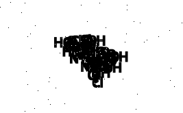 Cc1c(C#N)c(Nc2ccc(Cl)c(S(=O)(=O)O)c2)nc(Nc2ccc(Cl)c(S(=O)(=O)O)c2)c1N=Nc1sc(N=Nc2cc(S(=O)(=O)O)c3cc(S(=O)(=O)O)cc(S(=O)(=O)O)c3c2)c(-c2ccc(NC(=O)CCCl)cc2)c1C#N